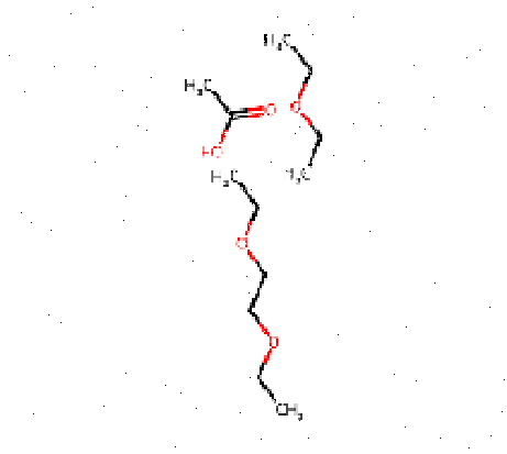 CC(=O)O.CCOCC.CCOCCOCC